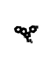 Nc1nc2c(c(N3CCNCC3)n1)CCC1(CCCCC1)C2